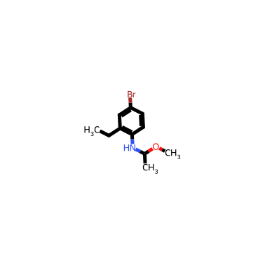 CCc1cc(Br)ccc1NC(C)OC